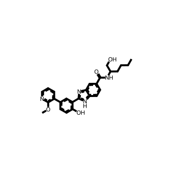 CCCCC(CO)NC(=O)c1ccc2[nH]c(-c3cc(-c4cccnc4OC)ccc3O)nc2c1